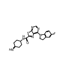 N=C1CCC(NC(=O)c2nc3c(N4CCc5cc(F)ccc54)ncnc3s2)CC1